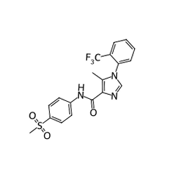 Cc1c(C(=O)Nc2ccc(S(C)(=O)=O)cc2)ncn1-c1ccccc1C(F)(F)F